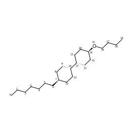 CCCCCCC[C@H]1CC[C@H]([C@H]2CC[C@H](OCCCC)CC2)CC1